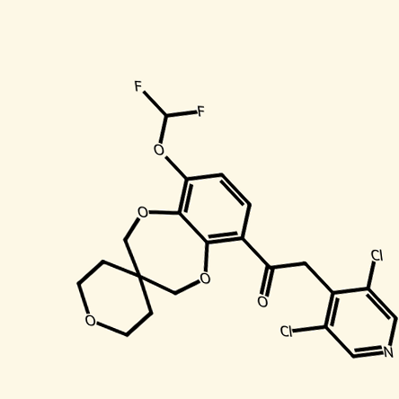 O=C(Cc1c(Cl)cncc1Cl)c1ccc(OC(F)F)c2c1OCC1(CCOCC1)CO2